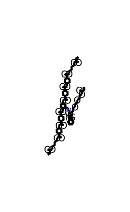 C=CC(=O)OCCCCOC(=O)C1CCC(OC(=O)C2CCC(C(=O)Oc3ccc(OC(=O)C4CCC(C(=O)OC5CCC(C(=O)OCCCCOC(=O)C=C)CC5)CC4)c(/C=N/N(CCOCCOCCOC(=O)C=C)c4nc5ccccc5s4)c3)CC2)CC1